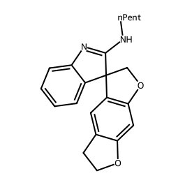 CCCCCNC1=Nc2ccccc2C12COc1cc3c(cc12)CCO3